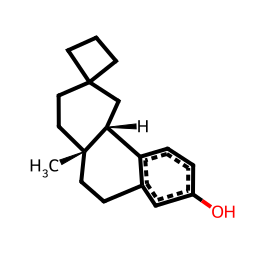 C[C@]12CCc3cc(O)ccc3[C@H]1CC1(CCC1)CC2